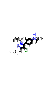 COc1cc(NC(C)C(F)(F)F)ccc1-c1c(Cl)c(C(=O)O)nn1CC(C)C